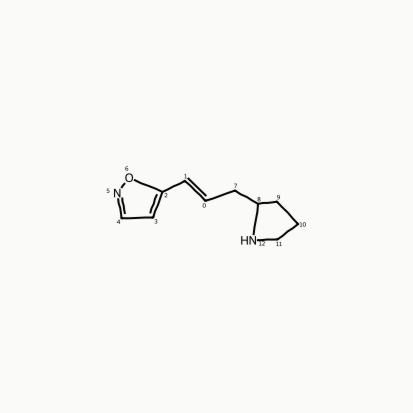 C(=Cc1ccno1)CC1CCCN1